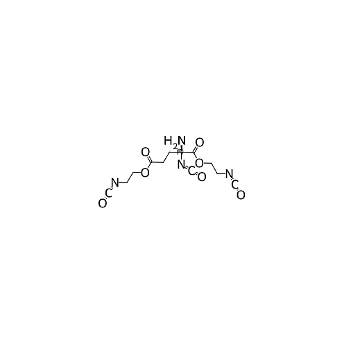 N[C@](CCC(=O)OCCN=C=O)(N=C=O)C(=O)OCCN=C=O